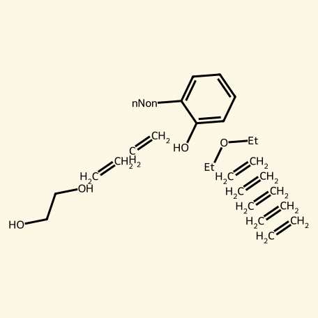 C=C.C=C.C=C.C=C.C=C.C=C.C=C.CCCCCCCCCc1ccccc1O.CCOCC.OCCO